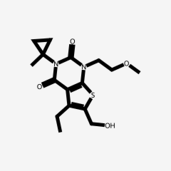 CCc1c(CO)sc2c1c(=O)n(C1(C)CC1)c(=O)n2CCOC